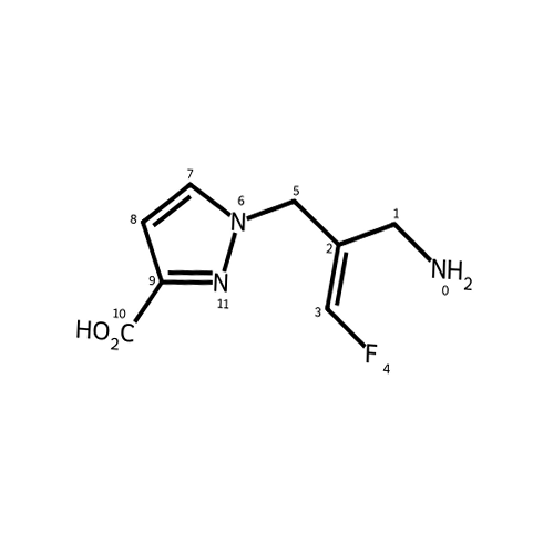 NCC(=CF)Cn1ccc(C(=O)O)n1